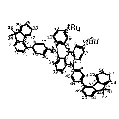 CC(C)(C)c1ccc2c(c1)B1c3cc(C(C)(C)C)ccc3N(c3ccc(-c4cccc5c4-c4ccccc4C5(C)C)cc3)c3cccc(c31)N2c1ccc(-c2cccc3c2-c2ccccc2C3(C)C)cc1